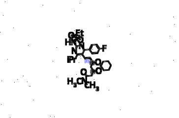 CCS(=O)(=O)Nc1nc(-c2ccc(F)cc2)c(/C=C/[C@@H]2C[C@H](CC(=O)N(C)C)OC3(CCCCC3)O2)c(C(C)C)n1